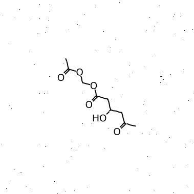 CC(=O)CC(O)CC(=O)OCOC(C)=O